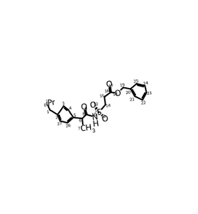 CC(C)Cc1ccc(C(C)C(=O)NS(=O)(=O)CCC(=O)OCc2ccccc2)cc1